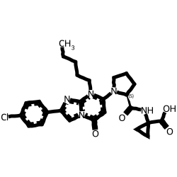 CCCCCn1c(N2CCC[C@H]2C(=O)NC2(C(=O)O)CC2)cc(=O)n2cc(-c3ccc(Cl)cc3)nc12